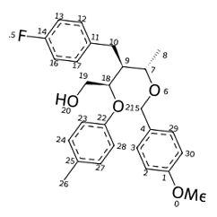 COc1ccc(CO[C@@H](C)[C@H](Cc2ccc(F)cc2)[C@H](CO)Oc2ccc(C)cc2)cc1